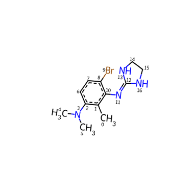 Cc1c(N(C)C)ccc(Br)c1N=C1NCCN1